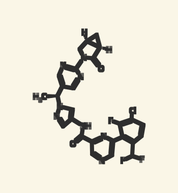 C[C@@H](c1cnc(N2C[C@H]3C[C@H]3C2=O)nc1)n1cc(NC(=O)c2cncc(-c3c(C(F)F)ccc(Cl)c3F)n2)cn1